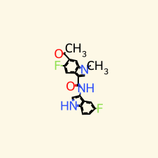 CC(=O)c1cc2c(cc1F)c(C(=O)Nc1c[nH]c3ccc(F)cc13)cn2C